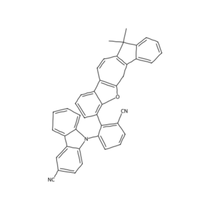 CC1(C)C2=C(Cc3oc4c(-c5c(C#N)cccc5-n5c6ccccc6c6cc(C#N)ccc65)cccc4c3C=C2)c2ccccc21